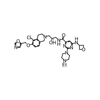 CCN1CCN(c2nc(NC3COC3)cc(C(=O)NC[C@H](O)CN3CCc4c(ccc(OCc5cnco5)c4Cl)C3)n2)CC1